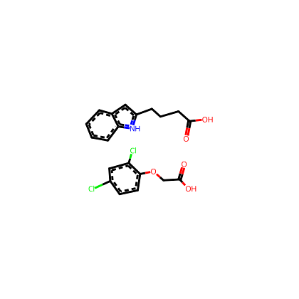 O=C(O)CCCc1cc2ccccc2[nH]1.O=C(O)COc1ccc(Cl)cc1Cl